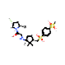 CC1(C)[C@H](CS(=O)(=O)c2ccc(S(C)(=O)=O)cc2)CC[C@]1(C)NCC(=O)N1C[C@H](F)C[C@H]1C#N